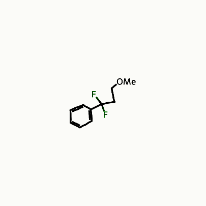 COCCC(F)(F)c1ccccc1